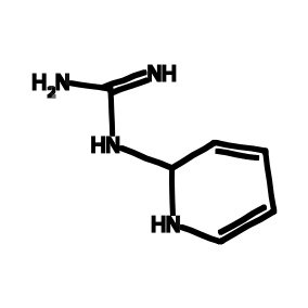 N=C(N)NC1C=CC=CN1